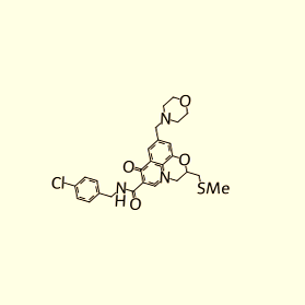 CSCC1Cn2cc(C(=O)NCc3ccc(Cl)cc3)c(=O)c3cc(CN4CCOCC4)cc(c32)O1